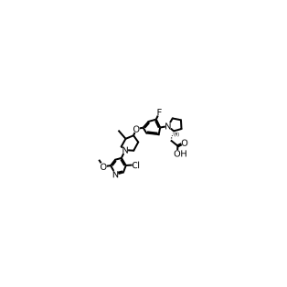 COc1cc(N2CCC(Oc3ccc(N4CCC[C@@H]4CC(=O)O)c(F)c3)C(C)C2)c(Cl)cn1